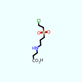 O=C(O)CCNCCCS(=O)(=O)CCCl